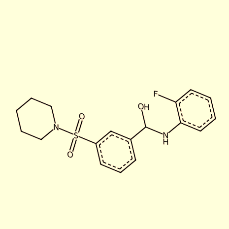 O=S(=O)(c1cccc(C(O)Nc2ccccc2F)c1)N1CCCCC1